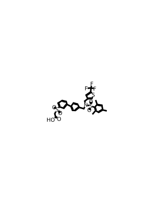 Cc1cc(C)c(S(=O)(=O)N(Cc2ccc(-c3cccc(S(=O)(=O)CC(=O)O)c3)cc2)Cc2csc(C(F)(F)F)c2)c(C)c1